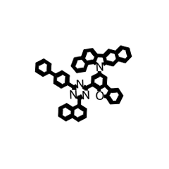 c1ccc(-c2ccc(-c3nc(-c4cccc5ccccc45)nc(-c4cc(-n5c6cc7ccccc7cc6c6ccc7ccccc7c65)cc5c4oc4ccccc45)n3)cc2)cc1